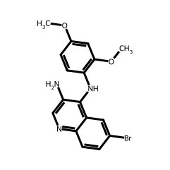 COc1ccc(Nc2c(N)cnc3ccc(Br)cc23)c(OC)c1